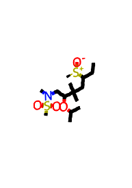 CCC(CC(C)(C)C(CN(C)S(C)(=O)=O)OC(C)C)[S@@+](C)[O-]